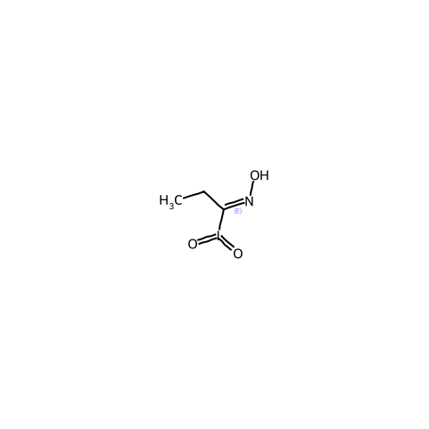 CC/C(=N\O)I(=O)=O